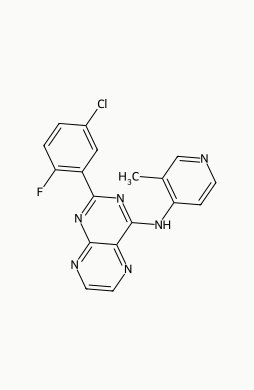 Cc1cnccc1Nc1nc(-c2cc(Cl)ccc2F)nc2nccnc12